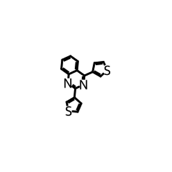 c1ccc2c(-c3ccsc3)nc(-c3ccsc3)nc2c1